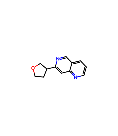 c1cnc2cc(C3CCOC3)ncc2c1